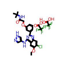 CCOc1cc2c(Nc3cn[nH]c3)nc(-c3cccc(OCC(=O)NC(C)(C)C)c3)nc2cc1Cl.O=C(O)C(F)(F)F.O=C(O)C(F)(F)F